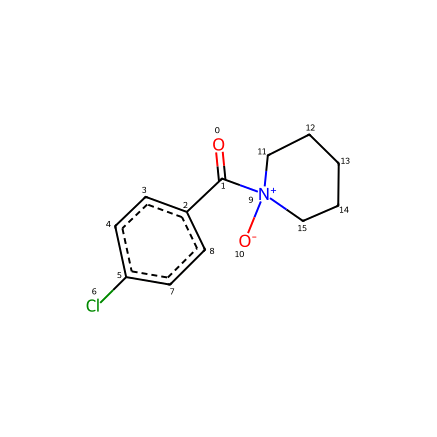 O=C(c1ccc(Cl)cc1)[N+]1([O-])CCCCC1